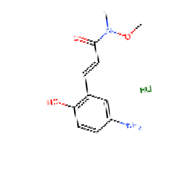 CON(C)C(=O)/C=C/c1cc(N)ccc1O.Cl